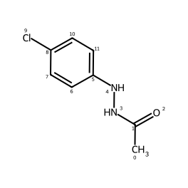 CC(=O)NNc1ccc(Cl)cc1